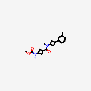 COC(=O)NC1CC(C(=O)N(C)C2CC(c3cccc(C)c3)C2)C1